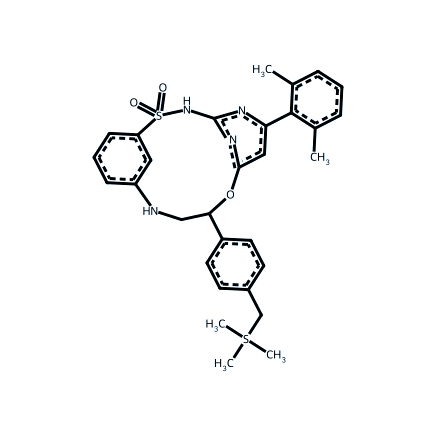 Cc1cccc(C)c1-c1cc2nc(n1)NS(=O)(=O)c1cccc(c1)NCC(c1ccc(CS(C)(C)C)cc1)O2